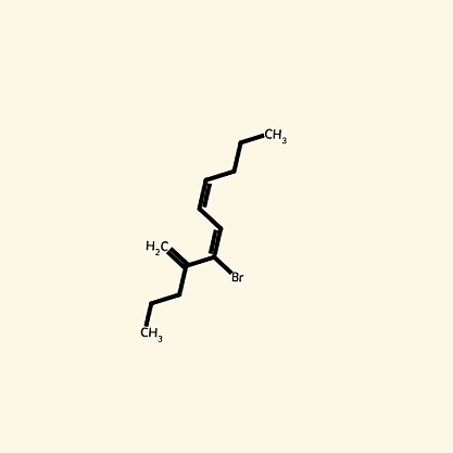 C=C(CCC)/C(Br)=C\C=C/CCC